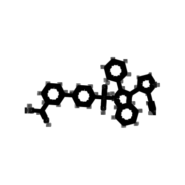 N#Cc1sccc1-c1c(-c2ccccc2)n(S(=O)(=O)c2ccc(-c3cccc(C(=O)O)c3)cc2)c2ccccc12